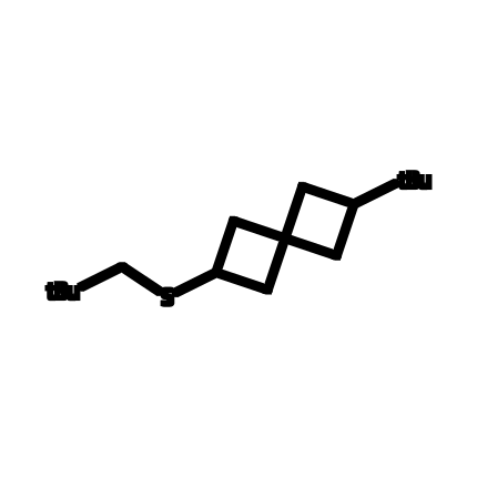 CC(C)(C)CSC1CC2(C1)CC(C(C)(C)C)C2